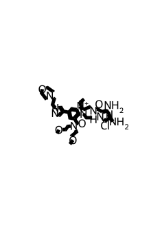 CCn1c(CNC(=O)c2nc(Cl)c(N)nc2N)[n+](CC)c2cc(-c3cnn(CCN4CCOCC4)c3)cc(C(=O)N(CCOC)CCOC)c21